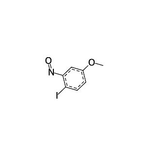 COc1ccc(I)c(N=O)c1